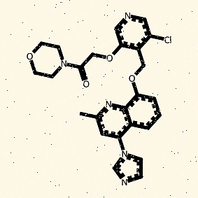 Cc1cc(-n2ccnc2)c2cccc(OCc3c(Cl)cncc3OCC(=O)N3CCOCC3)c2n1